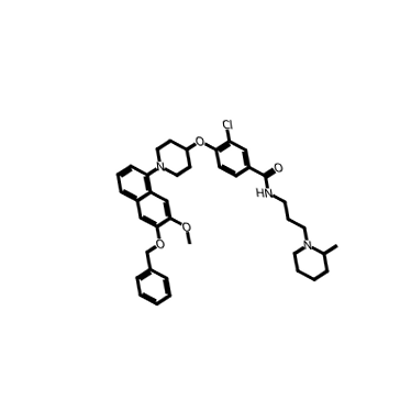 COc1cc2c(N3CCC(Oc4ccc(C(=O)NCCCN5CCCCC5C)cc4Cl)CC3)cccc2cc1OCc1ccccc1